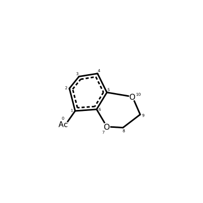 CC(=O)c1cccc2c1OCCO2